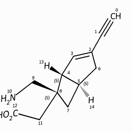 C#CC1=C[C@@H]2[C@@H](C1)C[C@]2(CN)CC(=O)O